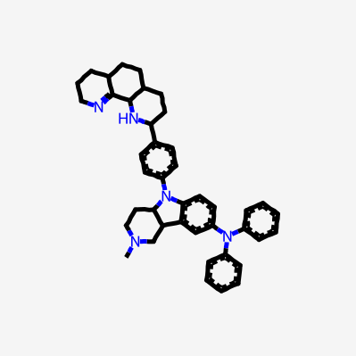 CN1CCC2C(C1)c1cc(N(c3ccccc3)c3ccccc3)ccc1N2c1ccc(C2CCC3CCC4CCCN=C4C3N2)cc1